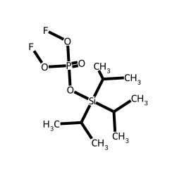 CC(C)[Si](OP(=O)(OF)OF)(C(C)C)C(C)C